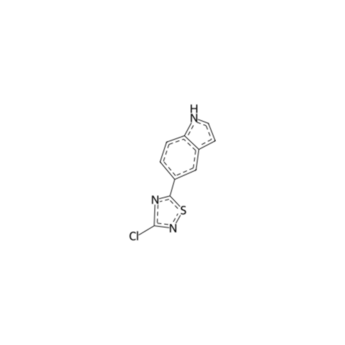 Clc1nsc(-c2ccc3[nH]ccc3c2)n1